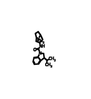 CC(C)C1CN(C(=O)NC2CC3CCC(C2)N3C)c2ccccc21